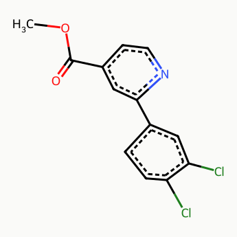 COC(=O)c1ccnc(-c2ccc(Cl)c(Cl)c2)c1